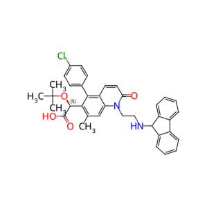 Cc1cc2c(ccc(=O)n2CCNC2c3ccccc3-c3ccccc32)c(-c2ccc(Cl)cc2)c1[C@H](OC(C)(C)C)C(=O)O